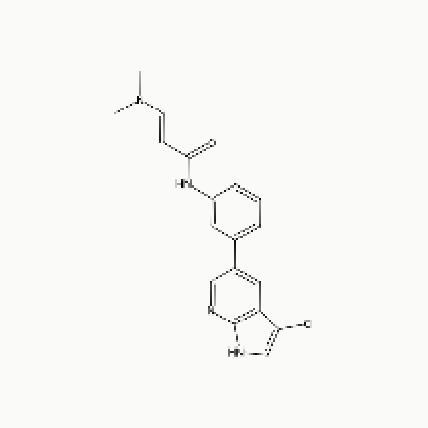 CN(C)C=CC(=O)Nc1cccc(-c2cnc3[nH]cc(Cl)c3c2)c1